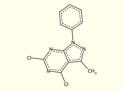 Cc1nn(-c2ccccc2)c2nc(Cl)nc(Cl)c12